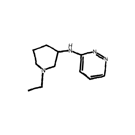 CCN1CCCC(Nc2cccnn2)C1